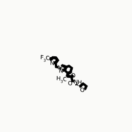 Cc1c(C(=O)NC[C@@H]2CCCO2)oc2c1-c1nn(Cc3cccc(C(F)(F)F)n3)cc1CC2